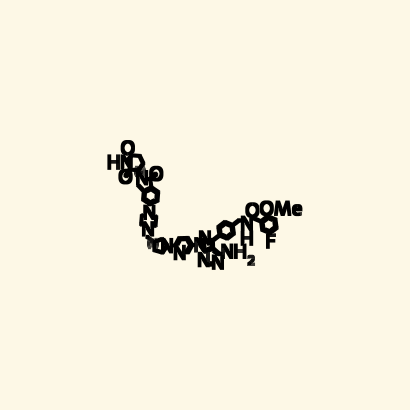 COc1ccc(F)cc1C(=O)NCc1ccc(-c2nn(-c3ccc(N4CC[C@@H](CN5CCN(c6ccc7c(c6)CN([C@H]6CCC(=O)NC6=O)C7=O)CC5)C4)nc3)c3ncnc(N)c23)cc1